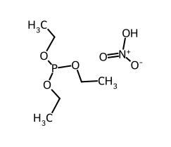 CCOP(OCC)OCC.O=[N+]([O-])O